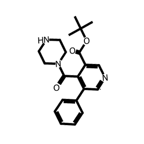 CC(C)(C)OC(=O)c1cn[c]c(-c2ccccc2)c1C(=O)N1CCNCC1